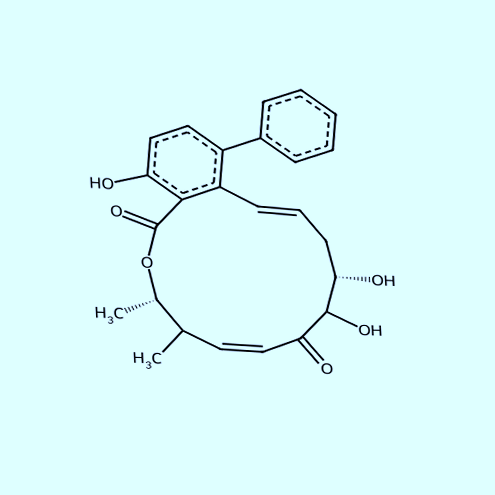 CC1/C=C\C(=O)C(O)[C@@H](O)C/C=C/c2c(-c3ccccc3)ccc(O)c2C(=O)O[C@H]1C